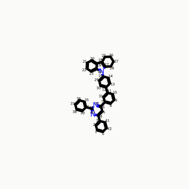 c1ccc(-c2cc(-c3cccc(-c4ccc(-n5c6c(c7ccccc75)CCCC6)cc4)c3)nc(-c3ccccc3)n2)cc1